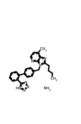 CCCCc1nc2c(C)ccnc2n1Cc1ccc(-c2ccccc2-c2nnn[nH]2)cc1.N